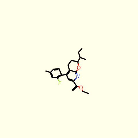 C=C(OCC)c1cc(-c2ccc(C)cc2F)c2c(n1)OC(C(C)CC)CC2